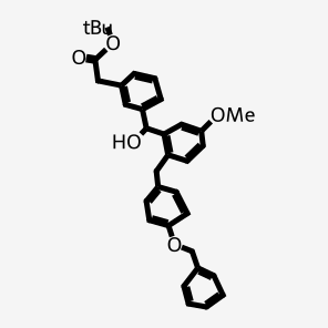 COc1ccc(Cc2ccc(OCc3ccccc3)cc2)c(C(O)c2cccc(CC(=O)OC(C)(C)C)c2)c1